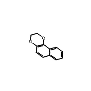 [c]1cc2ccccc2c2c1OCCO2